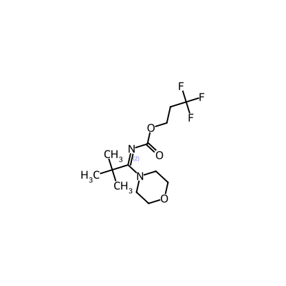 CC(C)(C)/C(=N/C(=O)OCCC(F)(F)F)N1CCOCC1